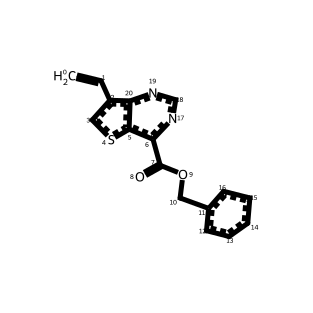 C=Cc1csc2c(C(=O)OCc3ccccc3)ncnc12